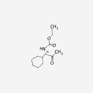 CCOC(=O)N[C@H](C(C)=O)C1CCCCC1